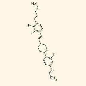 CCCCCc1ccc(/C=C/C2CCC(c3ccc(OCC)cc3F)CC2)c(F)c1F